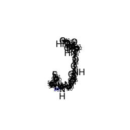 N=C(/C=C\c1ncc(-c2cccc(N3CCN(CC(=O)NCCOCCOCCNc4cccc5c4C(=O)N(C4CCC(=O)NC4=O)C5=O)CC3)n2)[nH]1)N1CCC[C@@H]1c1cccc(F)c1